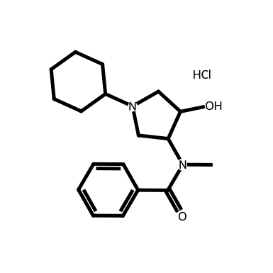 CN(C(=O)c1ccccc1)C1CN(C2CCCCC2)CC1O.Cl